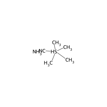 C[SH](C)(C)(C)C#N.N